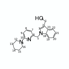 OCc1cn(Cc2cccc(N3CCCCC3)n2)c2ccccc12